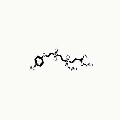 CCCCOP(=O)(CCC(=O)OC(C)(C)C)CCS(=O)(=O)CCOc1ccc(C(C)=O)cc1